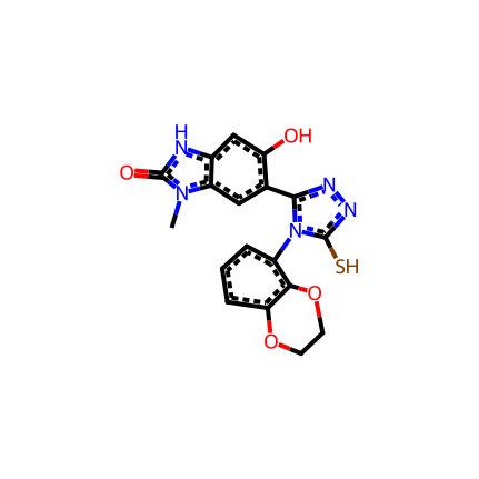 Cn1c(=O)[nH]c2cc(O)c(-c3nnc(S)n3-c3cccc4c3OCCO4)cc21